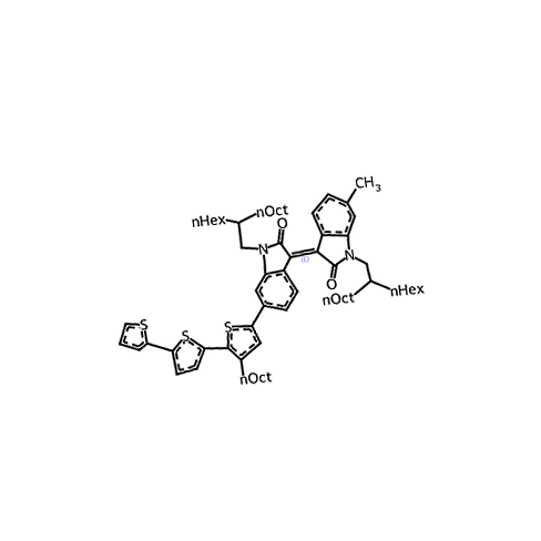 CCCCCCCCc1cc(-c2ccc3c(c2)N(CC(CCCCCC)CCCCCCCC)C(=O)/C3=C2/C(=O)N(CC(CCCCCC)CCCCCCCC)c3cc(C)ccc32)sc1-c1ccc(-c2cccs2)s1